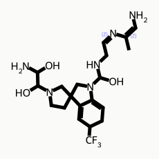 CC(=C/N)/N=C\CNC(O)N1CC2(CCN(C(O)C(N)O)C2)C2=CC(C(F)(F)F)CC=C21